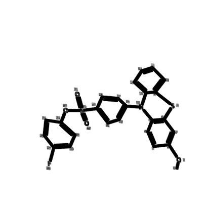 COc1ccc2c(c1)Sc1ccccc1N2c1ccc(S(=O)(=O)Oc2ccc(F)cc2)cc1